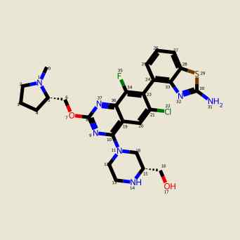 CN1CCC[C@H]1COc1nc(N2CCN[C@@H](CO)C2)c2cc(Cl)c(-c3cccc4sc(N)nc34)c(F)c2n1